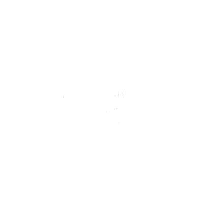 CC(C)(C)C[C@@H](O)CO